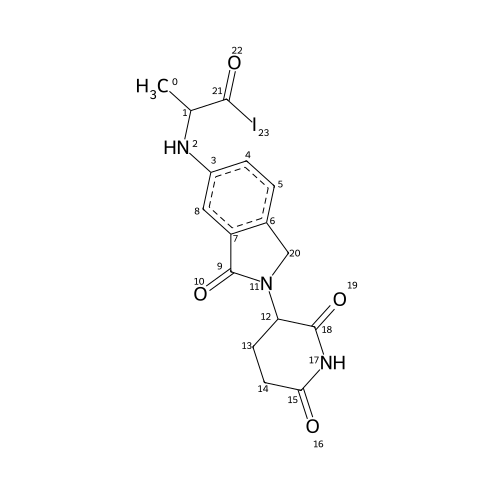 CC(Nc1ccc2c(c1)C(=O)N(C1CCC(=O)NC1=O)C2)C(=O)I